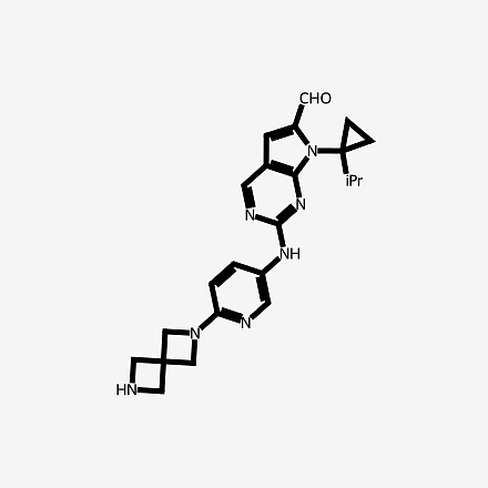 CC(C)C1(n2c(C=O)cc3cnc(Nc4ccc(N5CC6(CNC6)C5)nc4)nc32)CC1